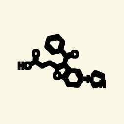 O=C(O)CCc1oc2ccc(-n3ccnc3)cc2c1C(=O)c1ccccc1